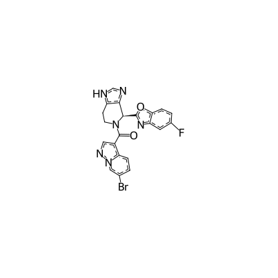 O=C(c1cnn2cc(Br)ccc12)N1CCc2[nH]cnc2[C@H]1c1nc2cc(F)ccc2o1